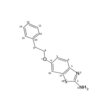 Nc1nc2ccc(OCCc3ccccc3)cc2s1